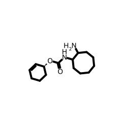 NC1CCCCCCC1NC(=O)O[C@H]1C=CCCC1